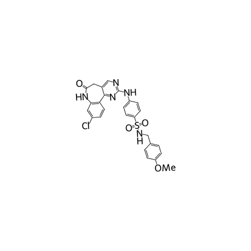 COc1ccc(CNS(=O)(=O)c2ccc(Nc3ncc4c(n3)-c3ccc(Cl)cc3NC(=O)C4)cc2)cc1